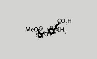 COC(=O)c1sccc1COc1ccc(C(C)CCC(=O)O)cc1